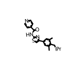 Cc1cc(-c2csc(NC(=O)c3ccncc3)n2)cc(C)c1CC(C)C